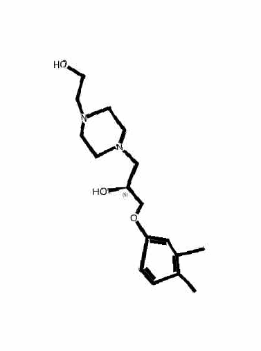 Cc1ccc(OC[C@@H](O)CN2CCN(CCO)CC2)cc1C